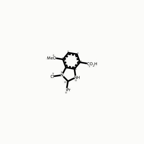 COc1ccc(C(=O)O)c2c1N(Cl)C(C(C)C)N2